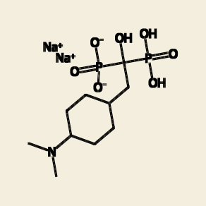 CN(C)C1CCC(CC(O)(P(=O)([O-])[O-])P(=O)(O)O)CC1.[Na+].[Na+]